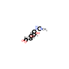 CN1CCC(N[C@H]2CC[C@]3(C)[C@H]4CC[C@]5(C)[C@@H](c6ccc(=O)oc6)CC[C@]5(O)[C@@H]4CC[C@]3(O)C2)CC1